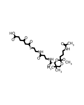 COC1(CCCNC(C)=O)OCC(C)(C)[C@H](C(=O)NCCC(=O)NCCSC(=O)CC(=O)CCC(=O)O)O1